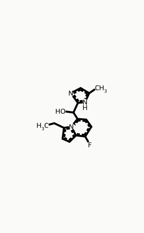 CCc1ccc2c(F)ccc(C(O)c3ncc(C)[nH]3)n12